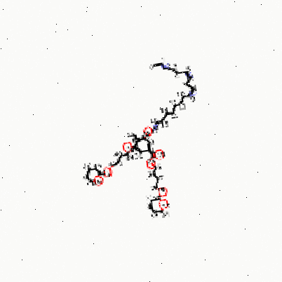 C/C=C/CC/C=C\C/C=C\CCCCCC/C=C/Oc1cc(C(=O)OCCCCOC2CCCCO2)cc(OCCCCOC2CCCCO2)c1C